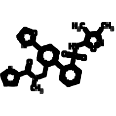 Cc1noc(NS(=O)(=O)c2ccccc2-c2ccc(-c3ncco3)cc2CN(C)C(=O)c2cccs2)c1C